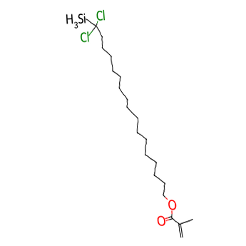 C=C(C)C(=O)OCCCCCCCCCCCCCCCCC([SiH3])(Cl)Cl